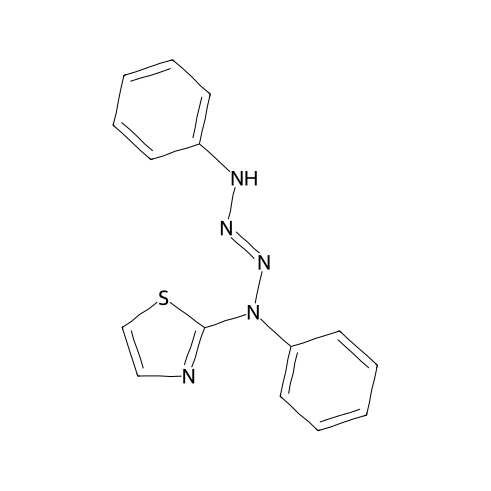 c1ccc(NN=NN(c2ccccc2)c2nccs2)cc1